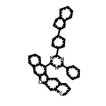 c1ccc(-c2nc(-c3ccc(-c4ccc5ccccc5c4)cc3)nc(-c3c4ccccc4cc4oc5cc6ccccc6cc5c34)n2)cc1